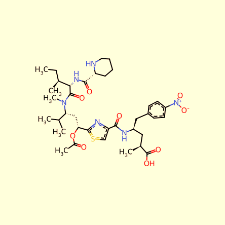 CC[C@H](C)[C@H](NC(=O)[C@H]1CCCCN1)C(=O)N(C)[C@H](C[C@@H](OC(C)=O)c1nc(C(=O)N[C@@H](Cc2ccc([N+](=O)[O-])cc2)C[C@H](C)C(=O)O)cs1)C(C)C